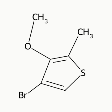 COc1c(Br)csc1C